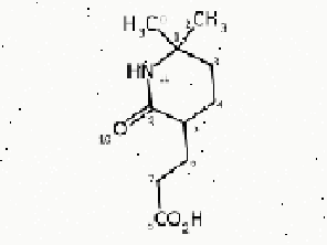 CC1(C)CCC(CCC(=O)O)C(=O)N1